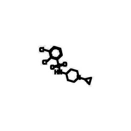 O=S(=O)(NC1CCN(C2CC2)CC1)c1cccc(Cl)c1Cl